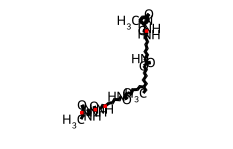 CCC(CCCCCOC(=O)NCCCCCCNC(=O)Nc1nc(=O)cc(C)[nH]1)CCCCOC(=O)NCCCCCCNC(=O)Nc1nc(=O)cc(C)[nH]1